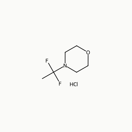 CC(F)(F)N1CCOCC1.Cl